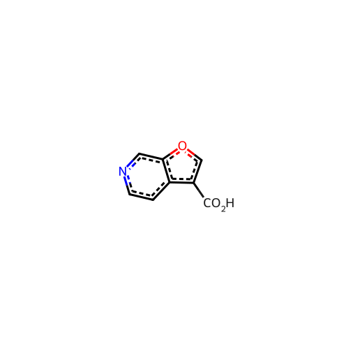 O=C(O)c1coc2cnccc12